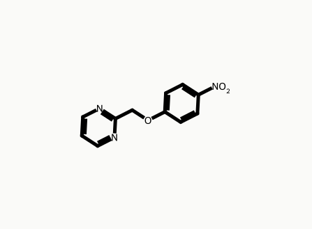 O=[N+]([O-])c1ccc(OCc2ncccn2)cc1